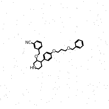 N#Cc1cccc(COC2CNCCC2c2ccc(OCCCOCc3ccccc3)cc2)c1